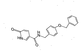 O=C(NCc1ccc(OCc2ccccc2)cc1)c1ccc(=O)[nH]c1